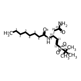 CCCCCCCC(=O)N[C@@H](/C=C/S(=O)(=O)C(C)(C)C)CC(N)=O